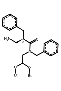 CCOC(CN(Cc1ccccc1)C(=O)[C@@H](CN)Cc1ccccc1)OCC